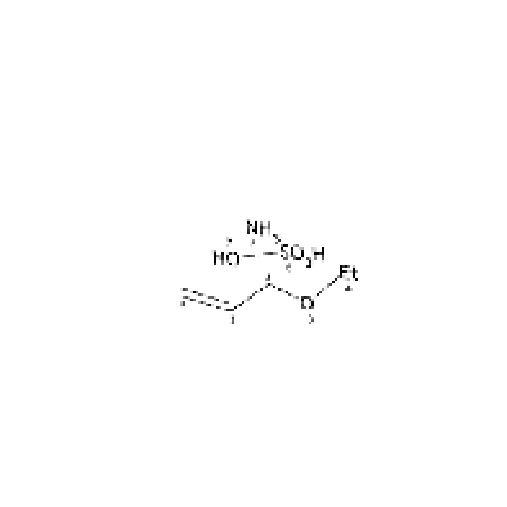 C=CCOCC.N.O=S(=O)(O)O